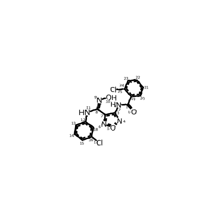 O=C(Nc1nonc1/C(=N\O)Nc1cccc(Cl)c1)c1ccccc1Cl